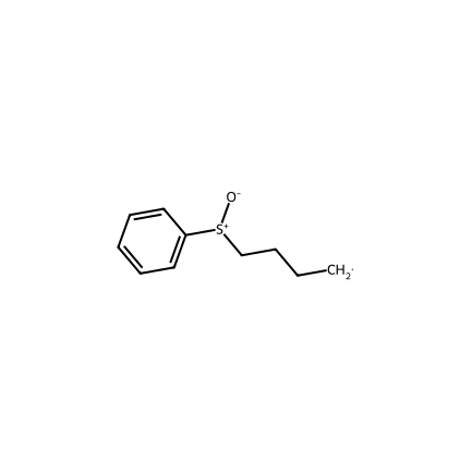 [CH2]CCC[S+]([O-])c1ccccc1